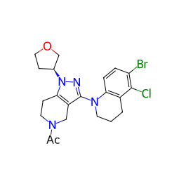 CC(=O)N1CCc2c(c(N3CCCc4c3ccc(Br)c4Cl)nn2[C@H]2CCOC2)C1